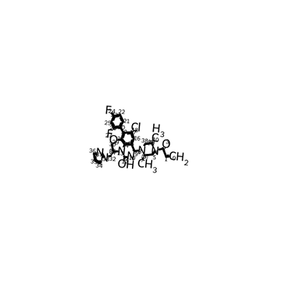 C=CC(=O)N1C[C@H](C)N(C2=NC(O)N3c4c2cc(Cl)c(-c2ccc(F)cc2F)c4OC[C@@H]3Cn2cccn2)C[C@H]1C